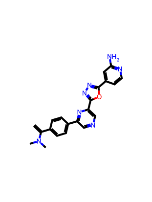 C=C(c1ccc(-c2cncc(-c3nnc(-c4ccnc(N)c4)o3)n2)cc1)N(C)C